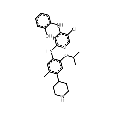 Cc1cc(Nc2ncc(Cl)c(Nc3ccccc3O)n2)c(OC(C)C)cc1C1CCNCC1